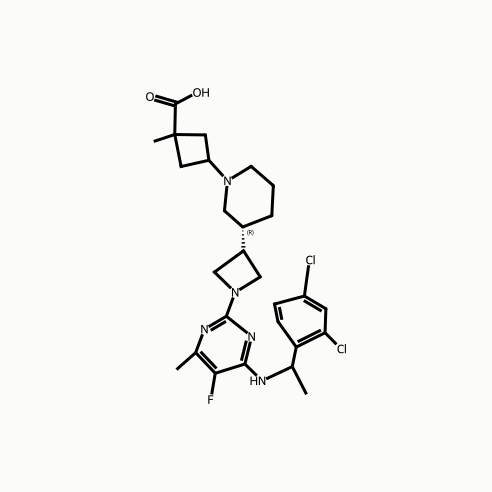 Cc1nc(N2CC([C@H]3CCCN(C4CC(C)(C(=O)O)C4)C3)C2)nc(NC(C)c2ccc(Cl)cc2Cl)c1F